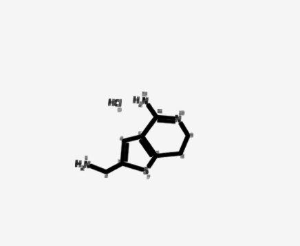 Cl.NCc1cc2c(s1)CCN=C2N